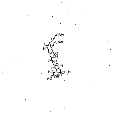 COCCOCCOC(=O)NCCCCC(NC(=O)OCCOCCOC)C(=O)NCC(=O)NC1C(O)CC(OC(C)C)(C(=O)O)OC1C(O)C(O)CO